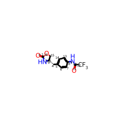 O=C1N[C@@H](Cc2ccc(NC(=O)C(F)(F)F)cc2)CO1